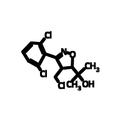 CC(C)(O)C1ON=C(c2c(Cl)cccc2Cl)C1CCl